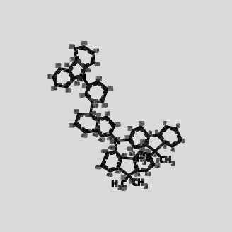 CC1(C)c2ccccc2-c2ccc(N(c3ccc4c(-c5cccc(-n6c7ccccc7c7ccccc76)c5)cccc4c3)c3cccc4c3-c3ccccc3C4(C)C)cc21